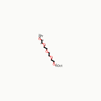 CCCCCCCCOCCOCCOCCOCCOCCC